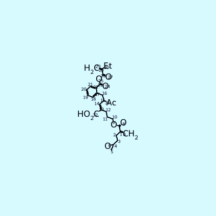 C=C(CCC1CO1)C(=O)OCCCC(=CC(Cc1ccccc1C(=O)OC(=O)C(=C)CC)C(C)=O)C(=O)O